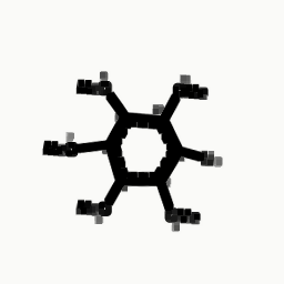 [Li][c]1c(OC)c(OC)c(OC)c(OC)c1OC